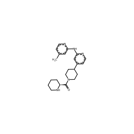 Cc1ccnc(Nc2cc(C3CCN(C(=O)[C@@H]4CCCCN4)CC3)ccn2)c1